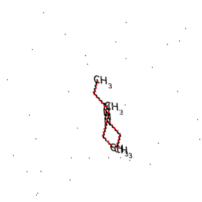 CCCCCCC/C=C\CCCCCCCCN(CCCCCCCC/C=C\CCCCCCCC)CCN1CCN(CCN(C)CCCCCCCC/C=C\CCCCCCCC)CC1